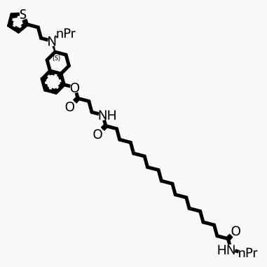 CCCNC(=O)CCCCCCCCCCCCCCCCC(=O)NCCC(=O)Oc1cccc2c1CC[C@H](N(CCC)CCc1cccs1)C2